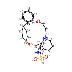 CS(=O)(=O)NC1CCCN2CCCOc3ccccc3C3CCC(CC3)OC[C@@H]12